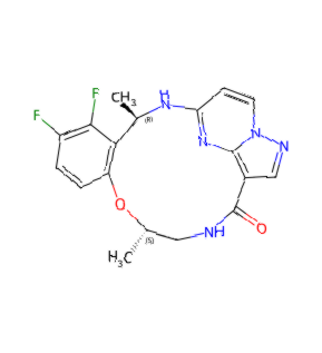 C[C@H]1CNC(=O)c2cnn3ccc(nc23)N[C@H](C)c2c(ccc(F)c2F)O1